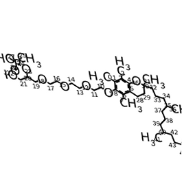 Cc1c(C)c2c(c(C)c1OCCOCCOCCOCC(CO)OP(C)(=O)O)CCC(C)(CCCC(C)CCCC(C)CCCC(C)C)O2